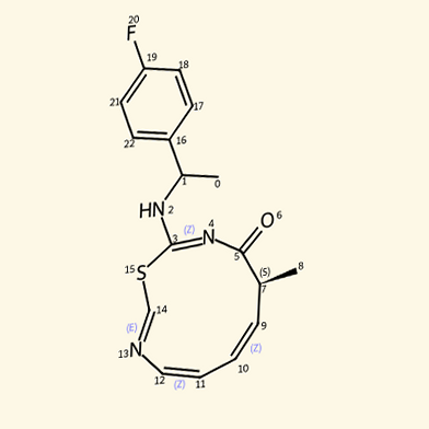 CC(N/C1=N/C(=O)[C@@H](C)\C=C/C=C\N=C\S1)c1ccc(F)cc1